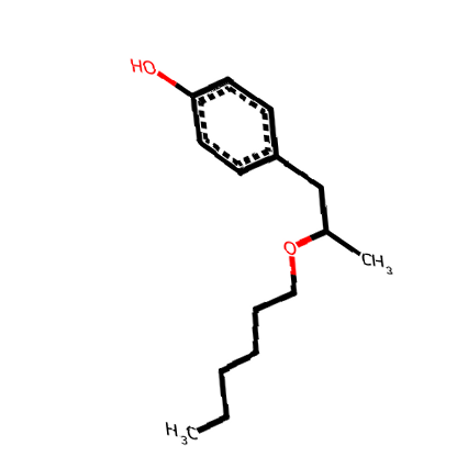 CCCCCCOC(C)Cc1ccc(O)cc1